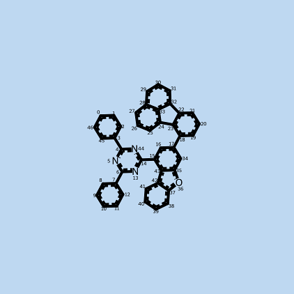 c1ccc(-c2nc(-c3ccccc3)nc(-c3cc(-c4cccc5c4-c4cccc6cccc-5c46)cc4oc5ccccc5c34)n2)cc1